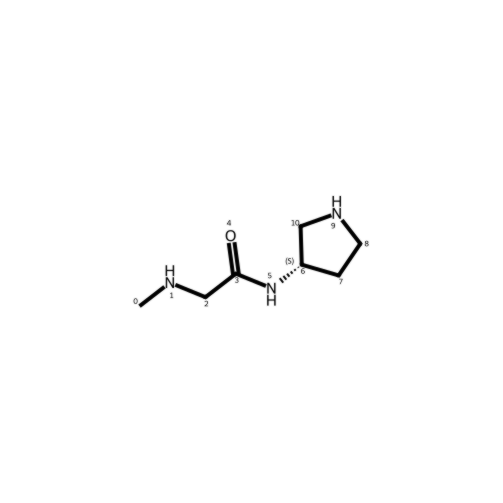 CNCC(=O)N[C@H]1CCNC1